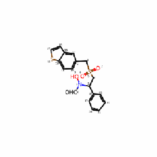 O=CN(O)C(CS(=O)(=O)Cc1ccc2sccc2c1)c1ccccc1